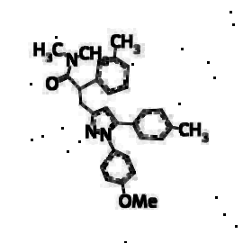 COc1ccc(-n2nc(CC(C(=O)N(C)C)c3cccc(C)c3)cc2-c2ccc(C)cc2)cc1